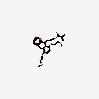 C=C(C)C(=O)OCCCC12c3ccccc3C(C3=C(OCCOC)C=CC(OCCOC)C31)c1ccccc12